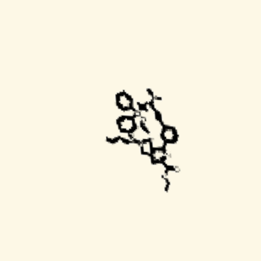 CCCC[S@@+]([O-])N1Cc2cc(C(=O)OCC)nc(-c3cccc(C#CCN(C)C)c3)c2[C@H]1CCO[Si](c1ccccc1)(c1ccccc1)C(C)(C)C